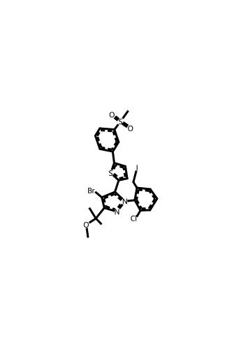 COC(C)(C)c1nn(-c2c(Cl)cccc2CI)c(-c2ccc(-c3cccc(S(C)(=O)=O)c3)s2)c1Br